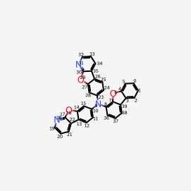 c1ccc2c(c1)oc1c(N(c3ccc4c(c3)oc3ncccc34)c3ccc4c(c3)oc3ncccc34)cccc12